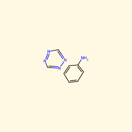 Nc1ccccc1.c1nncnn1